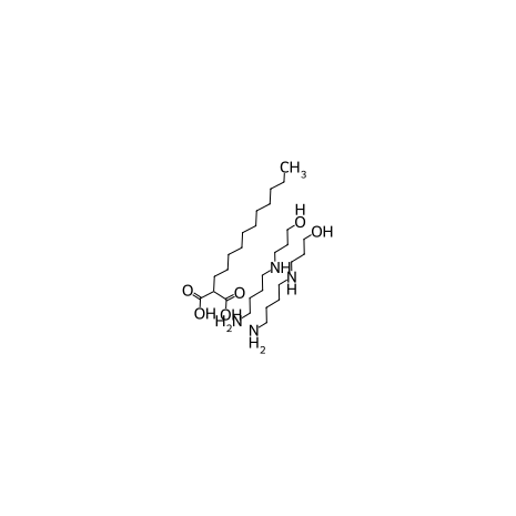 CCCCCCCCCCCC(C(=O)O)C(=O)O.NCCCCNCCCO.NCCCCNCCCO